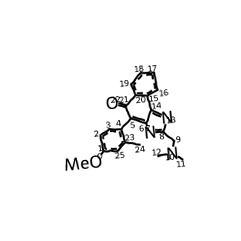 COc1ccc(C2=C3N=C(CN(C)C)N=C3c3ccccc3C2=O)c(C)c1